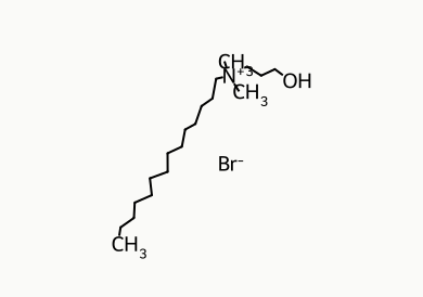 CCCCCCCCCCCCCC[N+](C)(C)CCCO.[Br-]